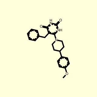 COc1ccc(C2CCN(c3[nH]c(=O)[nH]c(=O)c3Cc3ccccc3)CC2)cc1